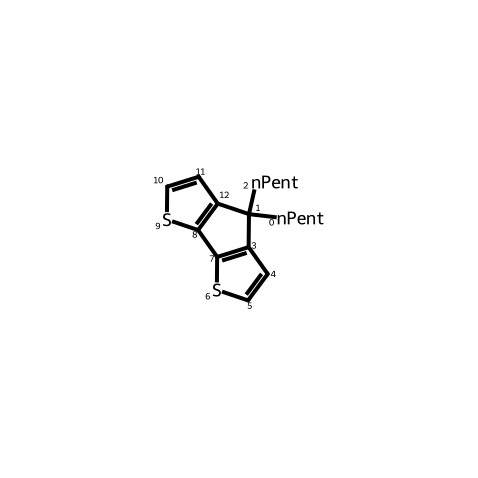 CCCCCC1(CCCCC)c2ccsc2-c2sccc21